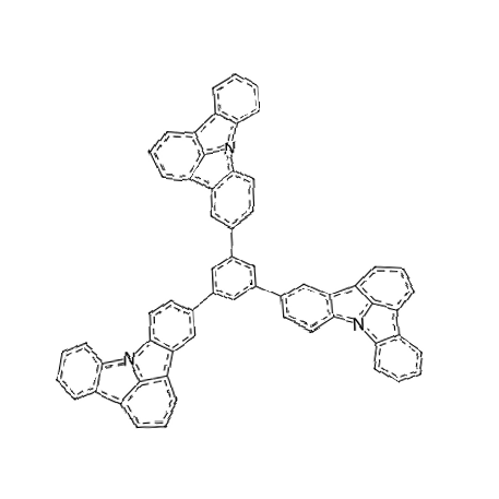 c1ccc2c(c1)c1cccc3c4cc(-c5cc(-c6ccc7c(c6)c6cccc8c9ccccc9n7c86)cc(-c6ccc7c(c6)c6cccc8c9ccccc9n7c86)c5)ccc4n2c13